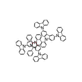 c1ccc(-c2cc(-c3cccc(-n4c5ccc(-n6c7ccccc7c7ccccc76)cc5c5cc(-n6c7ccccc7c7ccccc76)ccc54)c3-c3ccccc3-n3c4ccc(-n5c6ccccc6c6ccccc65)cc4c4cc(-n5c6ccccc6c6ccccc65)ccc43)nc(-c3ccccc3)n2)cc1